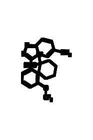 COC1([N+]23C=C(N)C=CC2=NN=C3c2cccc(OC(F)(F)F)c2)CCCCC1